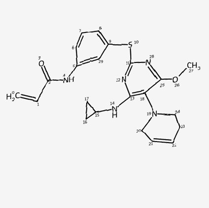 C=CC(=O)Nc1cccc(Sc2nc(NC3CC3)c(N3CC=CCC3)c(OC)n2)c1